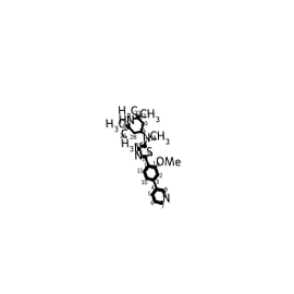 COc1cc(-c2cccnc2)ccc1-c1nnc(N(C)C2CC(C)(C)NC(C)(C)C2)s1